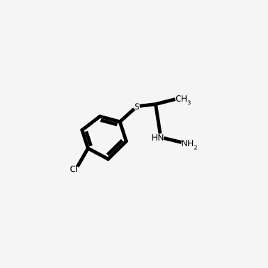 CC(NN)Sc1ccc(Cl)cc1